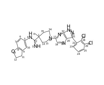 CC1(C(=N)Nc2ccc3c(c2)CCO3)CCN(c2cnc3c(-c4cccc(Cl)c4Cl)n[nH]c3n2)CC1